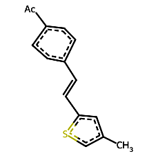 CC(=O)c1ccc(C=Cc2cc(C)cs2)cc1